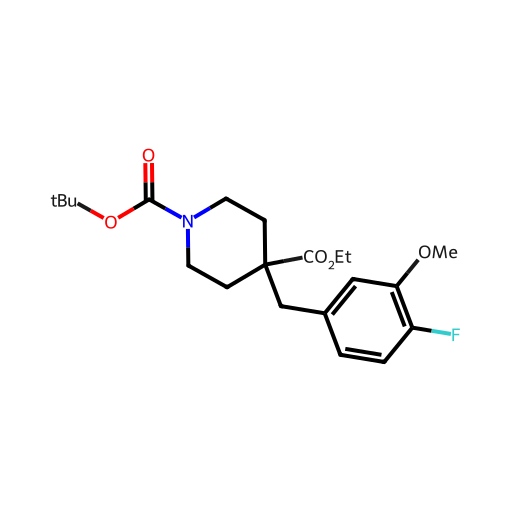 CCOC(=O)C1(Cc2ccc(F)c(OC)c2)CCN(C(=O)OC(C)(C)C)CC1